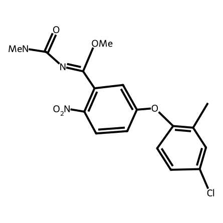 CNC(=O)N=C(OC)c1cc(Oc2ccc(Cl)cc2C)ccc1[N+](=O)[O-]